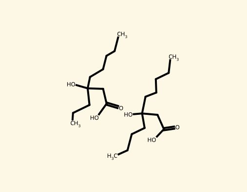 CCCCCC(O)(CCC)CC(=O)O.CCCCCC(O)(CCCC)CC(=O)O